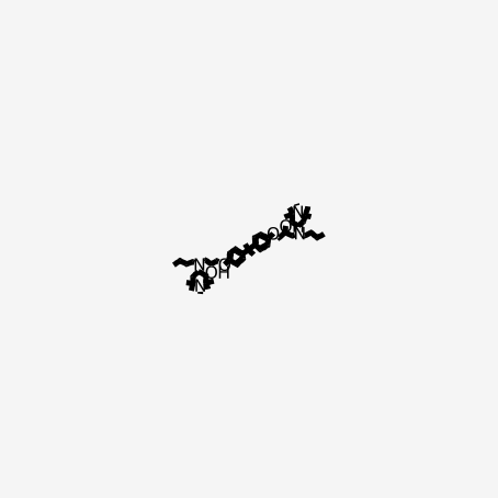 CCCCN(CC(O)COc1ccc(C(C)(C)c2ccc(OCC(O)CN(CCCC)C3CC(C)(C)N(C)C(C)(C)C3)cc2)cc1)C1CC(C)(C)N(C)C(C)(C)C1